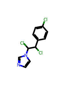 Clc1ccc(C(Cl)C(Cl)n2ccnc2)cc1